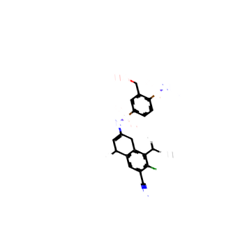 CC(C)c1c(F)c(C#N)cc2c1CC(NS(=O)(=O)c1ccc(S(N)(=O)=O)c(CO)c1)=CC2C